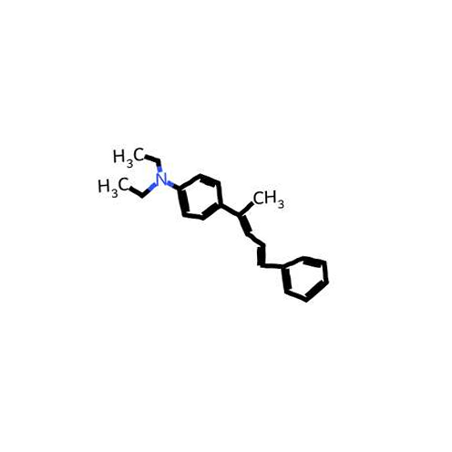 CCN(CC)c1ccc(/C(C)=C/C=C/c2ccccc2)cc1